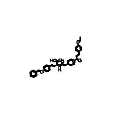 CCOc1ccc(CCC(=O)N2CCC(CC(=O)N[C@@H](CCc3ccc(OCc4ccccc4)cc3)C(=O)O)CC2)cc1